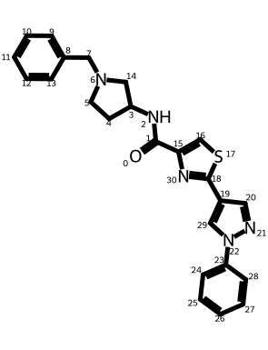 O=C(NC1CCN(Cc2ccccc2)C1)c1csc(-c2cnn(-c3ccccc3)c2)n1